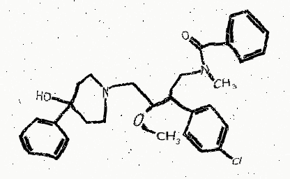 COC(CN1CCC(O)(c2ccccc2)CC1)C(CN(C)C(=O)c1ccccc1)c1ccc(Cl)cc1